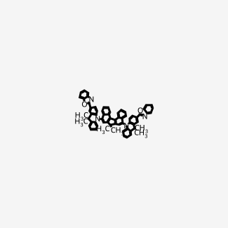 CC1(C)c2ccccc2N(c2cc3c(c4ccccc24)-c2c(cc(N4c5ccccc5C(C)(C)c5cc(-c6nc7ccccc7o6)ccc54)c4ccccc24)C3(C)C)c2ccc(-c3nc4ccccc4o3)cc21